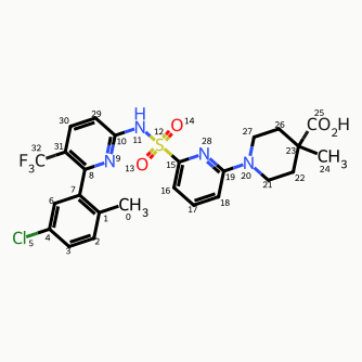 Cc1ccc(Cl)cc1-c1nc(NS(=O)(=O)c2cccc(N3CCC(C)(C(=O)O)CC3)n2)ccc1C(F)(F)F